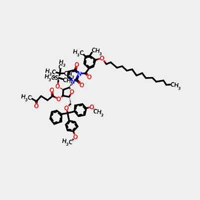 CCCCCCCCCCCCCCOc1cc(C(=O)n2c(=O)ccn([C@@H]3O[C@H](COC(c4ccccc4)(c4ccc(OC)cc4)c4ccc(OC)cc4)C(OC(=O)CCC(C)=O)[C@@H]3O[Si](C)(C)C(C)(C)C)c2=O)cc(C)c1C